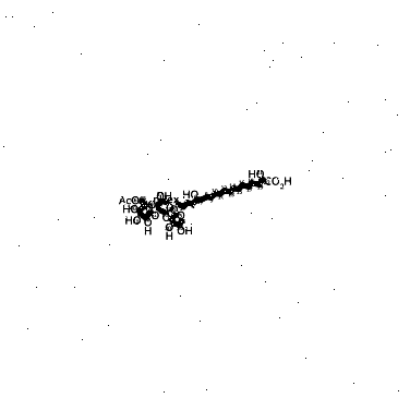 CCCCCCC(CCCC(O)CCCCCCCCCCCCCC(O)C(=O)O)OC1OCC(O)C(O)C1OC1OCC(O)C(O)C1OC1OC(COC(C)=O)C(O)C(O)C1O